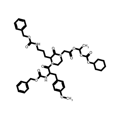 COc1ccc(CC(NC(=O)OCc2ccccc2)C(=O)N2CCN(CC(=O)OC(C)OC(=O)OC3CCCCC3)C(=O)C2CCCNC(=O)OCc2ccccc2)cc1